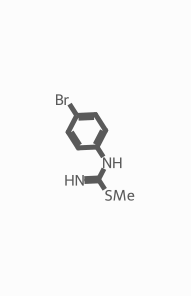 CSC(=N)Nc1ccc(Br)cc1